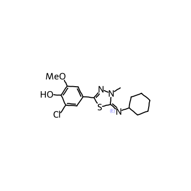 COc1cc(-c2nn(C)/c(=N\C3CCCCC3)s2)cc(Cl)c1O